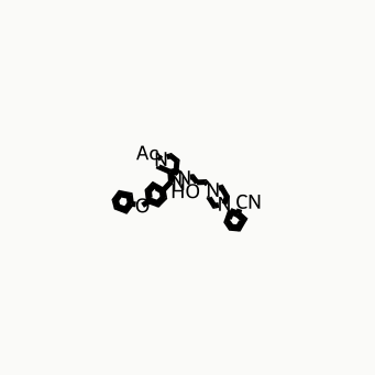 CC(=O)N1CCc2c(c(-c3ccc(Oc4ccccc4)cc3)nn2CC(O)CN2CCN(c3ccccc3C#N)CC2)C1